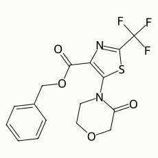 O=C(OCc1ccccc1)c1nc(C(F)(F)F)sc1N1CCOCC1=O